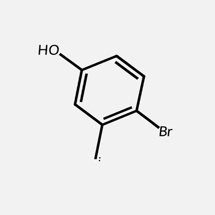 [CH]c1cc(O)ccc1Br